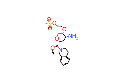 C=C[C@H]1c2ccccc2CCN1C(=O)[C@H]1C[C@H](N)[C@@H](O[C@@H](C)COS(C)(=O)=O)CO1